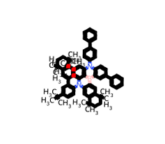 CC(C)(C)c1ccc(N2c3cc4c(cc3B3c5cc(-c6ccccc6)ccc5N(c5ccc(-c6ccccc6)cc5)c5cc(C(C)(C)C)cc2c53)C(C)(C)CCC4(C)C)c(-c2ccc3c(c2)C(C)(C)CCC3(C)C)c1